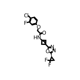 O=C(COc1ccc(Cl)c(F)c1)NC12CC(c3nnc([C@H]4CC4(F)F)o3)(C1)C2